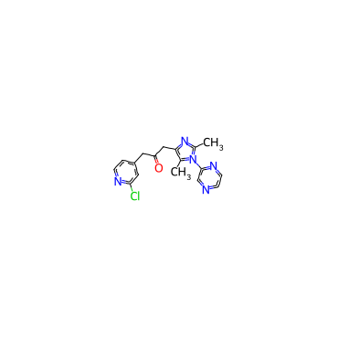 Cc1nc(CC(=O)Cc2ccnc(Cl)c2)c(C)n1-c1cnccn1